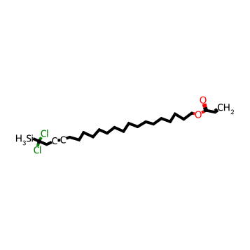 C=CC(=O)OCCCCCCCCCCCCCCCCCCCCC([SiH3])(Cl)Cl